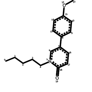 CCCCCn1cc(-c2ccc(OC)cc2)ccc1=O